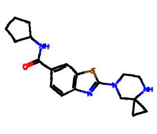 O=C(NC1CCCC1)c1ccc2nc(N3CCNC4(CC4)C3)sc2c1